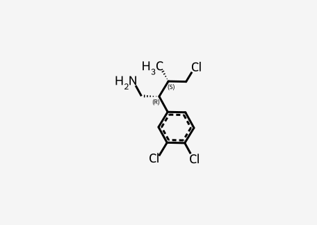 C[C@H](CCl)[C@@H](CN)c1ccc(Cl)c(Cl)c1